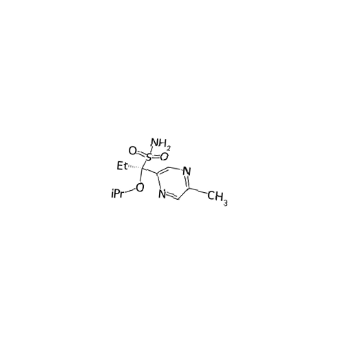 CC[C@@](OC(C)C)(c1cnc(C)cn1)S(N)(=O)=O